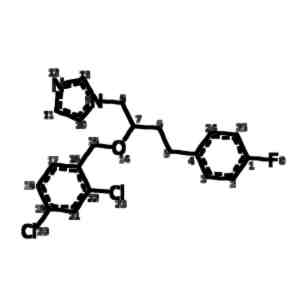 Fc1ccc(CCC(Cn2ccnc2)OCc2ccc(Cl)cc2Cl)cc1